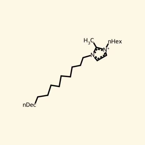 CCCCCCCCCCCCCCCCCCCn1cc[n+](CCCCCC)c1C